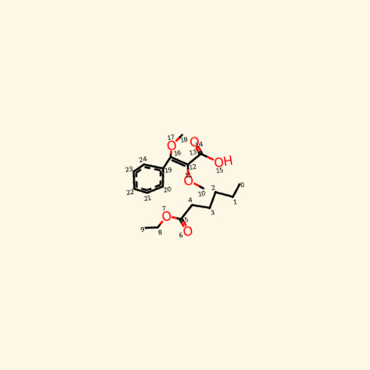 CCCCCC(=O)OCC.COC(C(=O)O)=C(OC)c1ccccc1